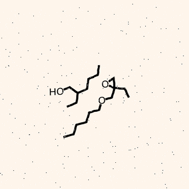 CCCCC(CC)CO.CCCCCCOCC1(CC)CO1